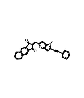 Cn1c(C#Cc2ccccc2)cc2sc(C=C3C(=O)c4cc5ccccc5cc4C3=O)cc21